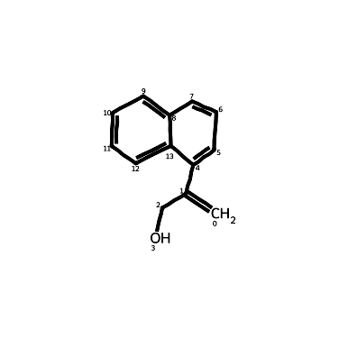 C=C(CO)c1cccc2ccccc12